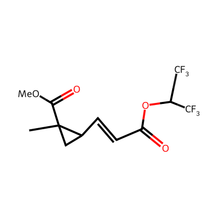 COC(=O)C1(C)CC1C=CC(=O)OC(C(F)(F)F)C(F)(F)F